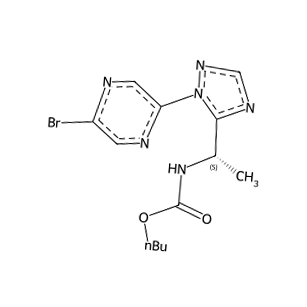 CCCCOC(=O)N[C@@H](C)c1ncnn1-c1cnc(Br)cn1